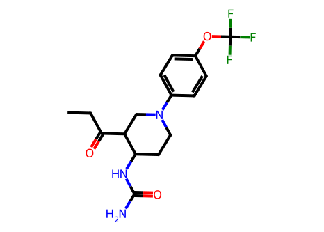 CCC(=O)C1CN(c2ccc(OC(F)(F)F)cc2)CCC1NC(N)=O